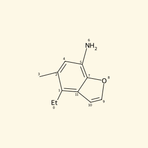 CCc1c(C)cc(N)c2occc12